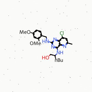 CCCCC(CO)Nc1nc(NCc2ccc(OC)cc2OC)nc2c(Cl)cc(C)nc12